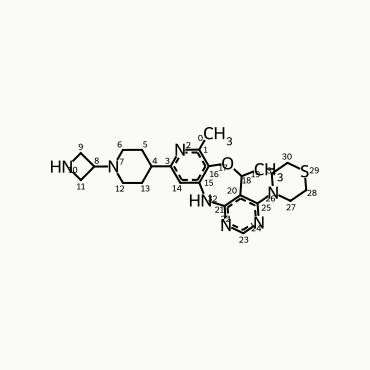 Cc1nc(C2CCN(C3CNC3)CC2)cc2c1OC(C)c1c(ncnc1N1CCSCC1)N2